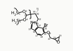 C[SiH2]OC(O[SiH2]C)C(C)(C)[C@H](C)Cn1ncc2ccc(OCC3CO3)c(Br)c21